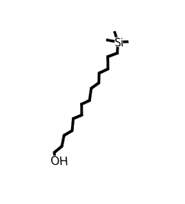 C[Si](C)(C)CCCCCCCCCCCCCCO